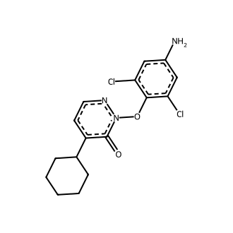 Nc1cc(Cl)c(On2nccc(C3CCCCC3)c2=O)c(Cl)c1